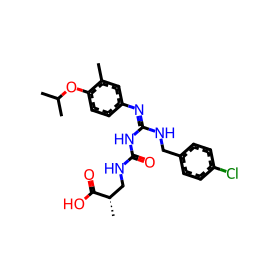 Cc1cc(/N=C(/NCc2ccc(Cl)cc2)NC(=O)NC[C@H](C)C(=O)O)ccc1OC(C)C